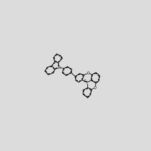 S=P12c3ccccc3Oc3cccc(c31)Oc1cc(-c3ccc(-n4c5ccccc5c5ccccc54)cc3)ccc12